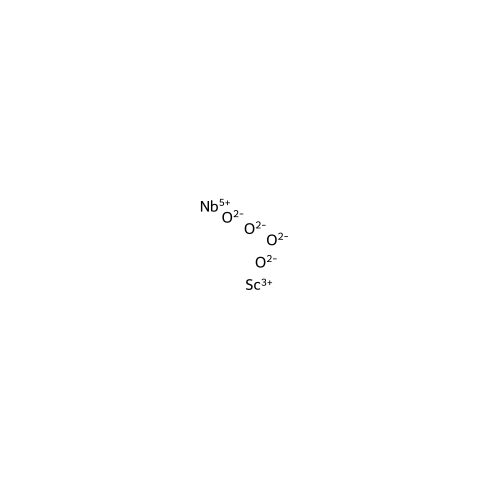 [Nb+5].[O-2].[O-2].[O-2].[O-2].[Sc+3]